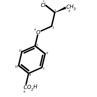 C[C@H](Cl)COc1ccc(C(=O)O)cc1